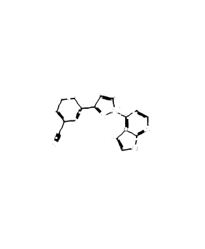 N#CC1=CCCC(c2ccn(-c3ccnc4[nH]ccc34)n2)=C1